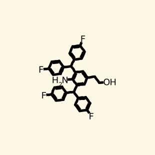 Nc1c(C(c2ccc(F)cc2)c2ccc(F)cc2)cc(CCO)cc1C(c1ccc(F)cc1)c1ccc(F)cc1